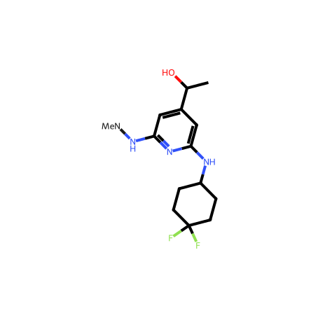 CNNc1cc(C(C)O)cc(NC2CCC(F)(F)CC2)n1